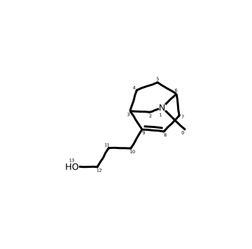 CN1CC2CCC1CC=C2CCCO